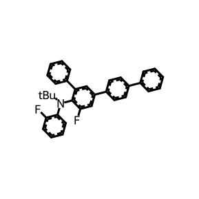 CC(C)(C)N(c1ccccc1F)c1c(F)cc(-c2ccc(-c3ccccc3)cc2)cc1-c1ccccc1